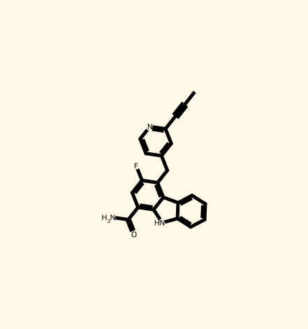 CC#Cc1cc(Cc2c(F)cc(C(N)=O)c3[nH]c4ccccc4c23)ccn1